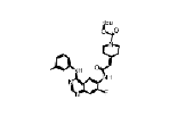 Cc1cccc(Nc2ncnc3cc(F)c(NC(=O)C=C4CCN(C(=O)OC(C)(C)C)CC4)cc23)c1